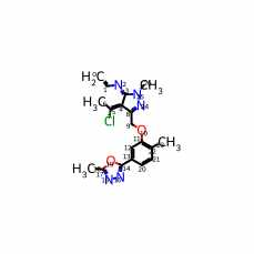 C=C/N=C1\C(=C(/C)Cl)C(COc2cc(-c3nnc(C)o3)ccc2C)=NN1C